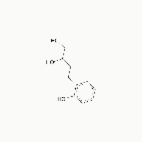 OCC(O)CCc1ccccc1O